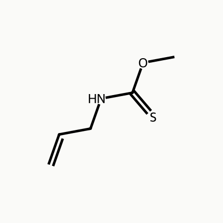 C=CCNC(=S)OC